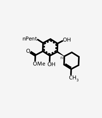 CCCCCc1cc(O)c([C@@H]2C=C(C)CCC2)c(O)c1C(=O)OC